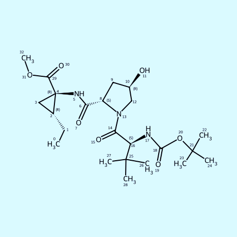 CC[C@@H]1C[C@]1(NC(=O)[C@@H]1C[C@@H](O)CN1C(=O)[C@@H](NC(=O)OC(C)(C)C)C(C)(C)C)C(=O)OC